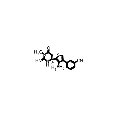 Bc1c(-c2cccc(C#N)c2)csc1[C@]1(C)CC(=O)N(C)C(=N)N1